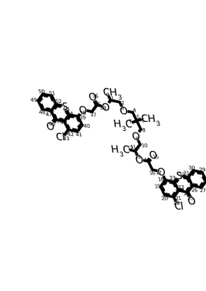 CC(COCC(C)(C)COCC(C)OC(=O)COc1ccc(Cl)c2c(=O)c3ccccc3sc12)OC(=O)COc1ccc(Cl)c2c(=O)c3ccccc3sc12